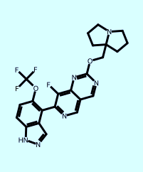 Fc1c(-c2c(OC(F)(F)F)ccc3[nH]ncc23)ncc2cnc(OCC34CCCN3CCC4)nc12